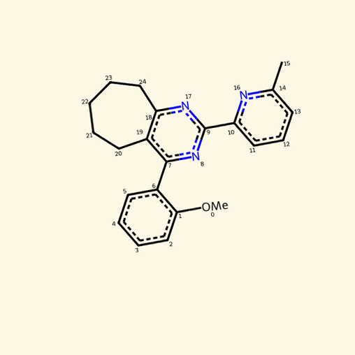 COc1ccccc1-c1nc(-c2cccc(C)n2)nc2c1CCCCC2